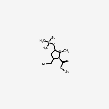 C[C@@H]1C(O[Si](C)(C)C(C)(C)C)CC(CC#N)N1C(=O)OC(C)(C)C